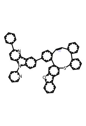 C1=C\c2ccc(-c3ccc4c(c3)c3nc(-c5ccccc5)ccc3n4-c3ccccn3)cc2-c2cc3oc4ccccc4c3cc2Sc2ccccc2-c2ccccc2/1